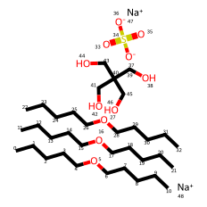 CCCCCOCCCCC.CCCCCOCCCCC.CCCCCOCCCCC.O=S(=O)([O-])[O-].OCC(CO)(CO)CO.[Na+].[Na+]